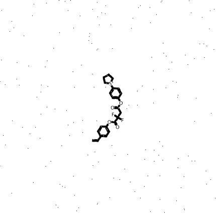 C=Cc1ccc(OC(=O)C(F)(F)CC(=O)Oc2ccc([S+]3CCCC3)cc2)cc1